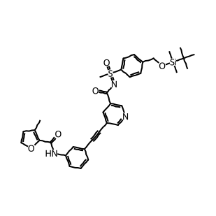 Cc1ccoc1C(=O)Nc1cccc(C#Cc2cncc(C(=O)N=S(C)(=O)c3ccc(CO[Si](C)(C)C(C)(C)C)cc3)c2)c1